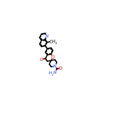 Cc1c(-c2ccc3c(c2)C(=O)CC2(CCN(C(N)=O)CC2)O3)ccc2cccnc12